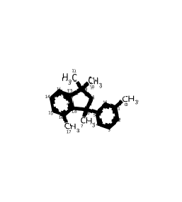 Cc1cccc(C2(C)CC(C)(C)c3cccc(C)c32)c1